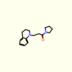 O=C(CCN1CCCc2ccccc21)N1CCCC1